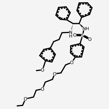 CCOCCOCCOCCOc1ccc(S(=O)(=O)N[C@H](c2ccccc2)[C@H](NCCCc2ccc(OC)cc2)c2ccccc2)cc1